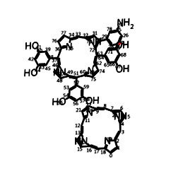 C1=Cc2cc3ccc(cc4nc(cc5ccc(cc1n2)[nH]5)C=C4)[nH]3.Nc1cccc(-c2cc3cc4nc(c(-c5cc(O)cc(O)c5)c5ccc([nH]5)c(-c5cc(O)cc(O)c5)c5nc(c(-c6cc(O)cc(O)c6)c2[nH]3)C=C5)C=C4)c1